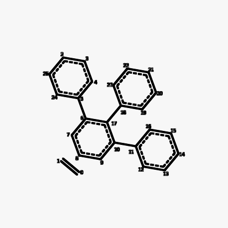 C=C.c1ccc(-c2cccc(-c3ccccc3)c2-c2ccccc2)cc1